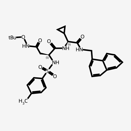 Cc1ccc(S(=O)(=O)N[C@@H](CC(=O)NOC(C)(C)C)C(=O)N[C@H](C(=O)NCc2cccc3ccccc23)C2CC2)cc1